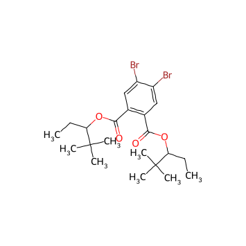 CCC(OC(=O)c1cc(Br)c(Br)cc1C(=O)OC(CC)C(C)(C)C)C(C)(C)C